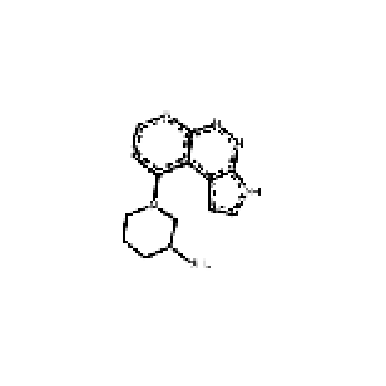 NC1CCCN(c2ccnc3nnc4[nH]ccc4c23)C1